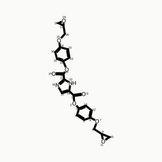 O=C(Oc1ccc(OCC2CO2)cc1)c1cnc(C(=O)Oc2ccc(OCC3CO3)cc2)[nH]1